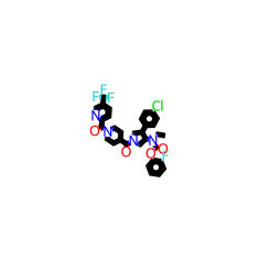 CCN(C(=O)Oc1ccccc1F)C1CN(C(=O)C2CCN(C(=O)c3ccc(C(F)(F)F)cn3)CC2)CC1c1ccc(Cl)cc1